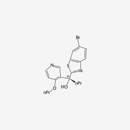 CCCOc1ccncc1[C@](O)(CCC)c1nc2ccc(Br)cc2s1